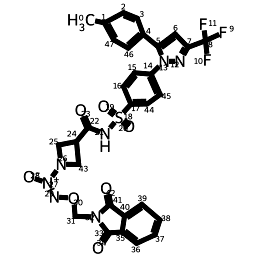 Cc1ccc(-c2cc(C(F)(F)F)nn2-c2ccc(S(=O)(=O)NC(=O)C3CN(/[N+]([O-])=N\OCN4C(=O)c5ccccc5C4=O)C3)cc2)cc1